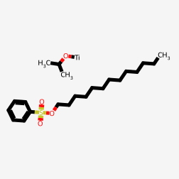 CC(C)[O][Ti].CCCCCCCCCCCCCOS(=O)(=O)c1ccccc1